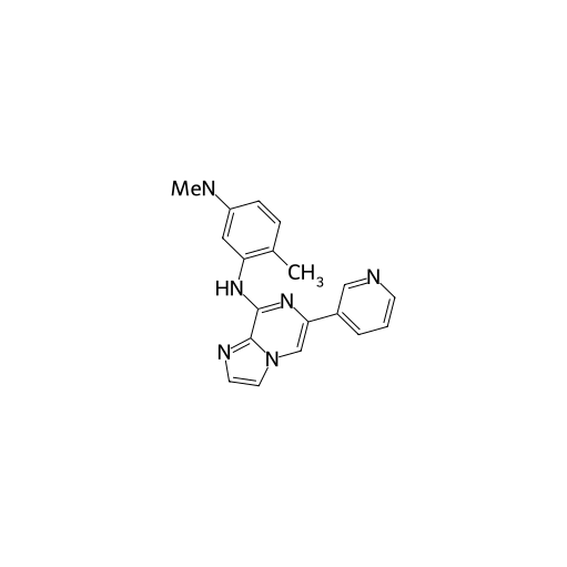 CNc1ccc(C)c(Nc2nc(-c3cccnc3)cn3ccnc23)c1